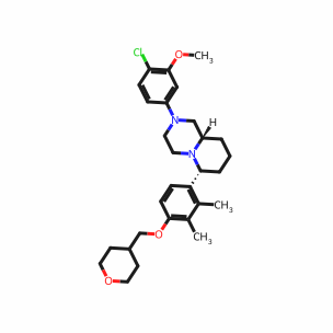 COc1cc(N2CCN3[C@@H](CCC[C@@H]3c3ccc(OCC4CCOCC4)c(C)c3C)C2)ccc1Cl